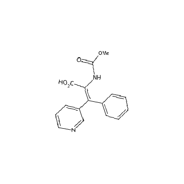 COC(=O)NC(C(=O)O)=C(c1ccccc1)c1cccnc1